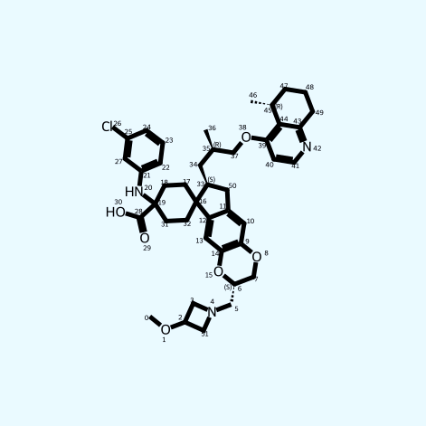 COC1CN(C[C@H]2COc3cc4c(cc3O2)C2(CCC(Nc3cccc(Cl)c3)(C(=O)O)CC2)[C@@H](C[C@@H](C)COc2ccnc3c2[C@H](C)CCC3)C4)C1